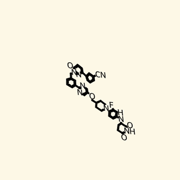 N#Cc1cccc(-c2ccc(=O)n(Cc3cccc(-c4ncc(OCC5CCN(c6ccc(NC7CCC(=O)NC7=O)cc6F)CC5)cn4)c3)n2)c1